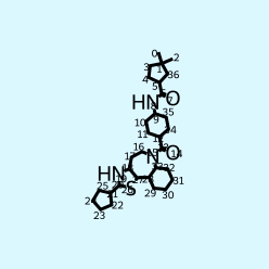 CC1(C)CCC(C(=O)NC2CCC(C(=O)N3CCC4NC(C5CCCC5)SC4C4CCCCC43)CC2)C1